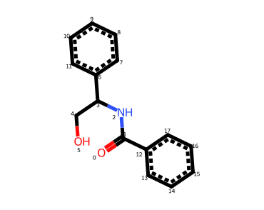 O=C(NC(CO)c1ccccc1)c1ccccc1